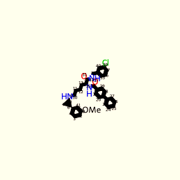 COc1cccc([C@@H]2C[C@H]2NCCCCC(NC(=O)c2ccc(-c3ccccc3)cc2)C(=O)NCc2cccc(Cl)c2)c1